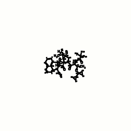 C#Cc1cccc2cncc(C(C#N)NC(=O)[C@@H]3[C@@H]4[C@H](CN3C(=O)[C@@H](NC(=O)C(F)(F)F)[C@@H](C)OC3(C5CC5)CC3)C4(C)C)c12